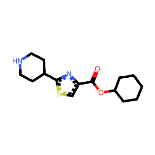 O=C(OC1CCCCC1)c1csc(C2CCNCC2)n1